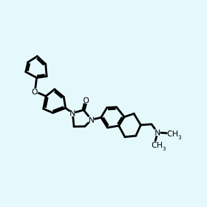 CN(C)CC1CCc2cc(N3CCN(c4ccc(Oc5ccccc5)cc4)C3=O)ccc2C1